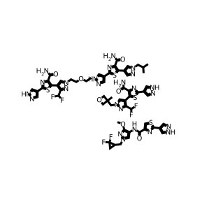 CC(C)Cn1cc(-c2sc(-c3cn[nH]c3)nc2C(N)=O)cn1.CC1(Cn2cc(-c3sc(-c4cn[nH]c4)nc3C(N)=O)c(C(F)F)n2)COC1.CCOCCn1cc(-c2sc(-c3cn[nH]c3)nc2C(N)=O)c(C(F)F)n1.COc1nn(CC2CC2(F)F)cc1NC(=O)c1csc(-c2cn[nH]c2)n1